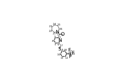 O=C(c1cccc(CSc2cccc(C(F)(F)F)c2)n1)N1CCCCCC1